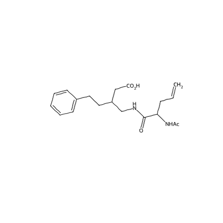 C=CCC(NC(C)=O)C(=O)NCC(CCc1ccccc1)CC(=O)O